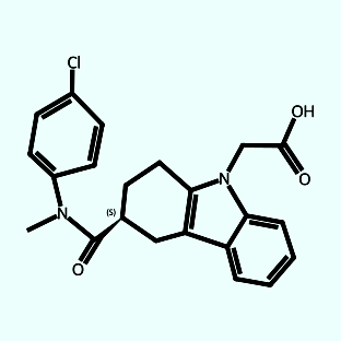 CN(C(=O)[C@H]1CCc2c(c3ccccc3n2CC(=O)O)C1)c1ccc(Cl)cc1